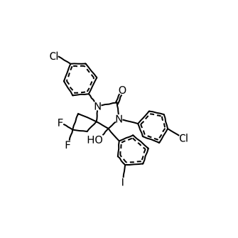 O=C1N(c2ccc(Cl)cc2)C2(CC(F)(F)C2)C(O)(c2cccc(I)c2)N1c1ccc(Cl)cc1